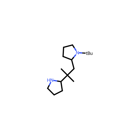 CC(C)(CC1CCCN1C(C)(C)C)C1CCCN1